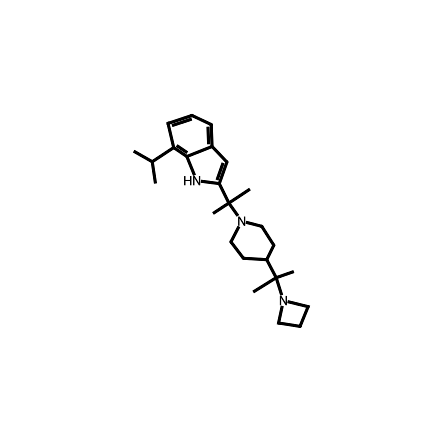 CC(C)c1cccc2cc(C(C)(C)N3CCC(C(C)(C)N4CCC4)CC3)[nH]c12